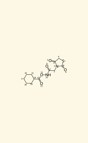 O=C(CN1C(=O)CSC1=O)NOC(=O)C1CCCCC1